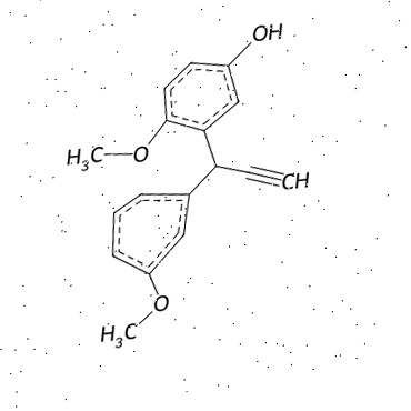 C#CC(c1cccc(OC)c1)c1cc(O)ccc1OC